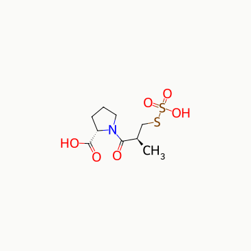 C[C@H](CSS(=O)(=O)O)C(=O)N1CCC[C@H]1C(=O)O